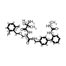 CNC(=O)Nc1ccccc1-c1ccc(CNC(=O)[C@@H](COCc2c(F)cccc2F)NC(=O)C(C)(C)N)cc1